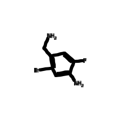 NCc1cc(F)c(N)cc1Br